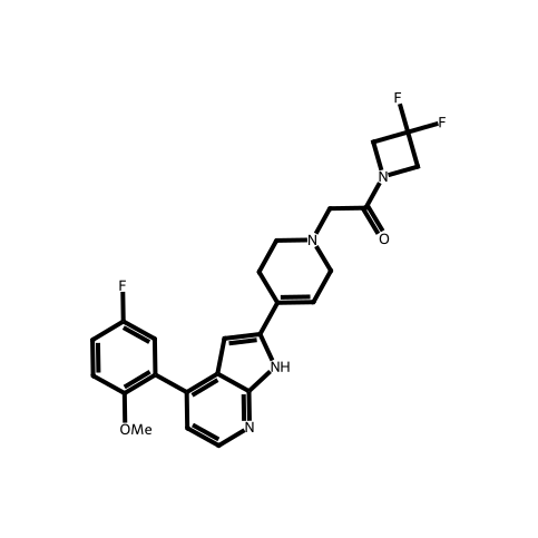 COc1ccc(F)cc1-c1ccnc2[nH]c(C3=CCN(CC(=O)N4CC(F)(F)C4)CC3)cc12